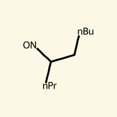 CCCCCC(CCC)N=O